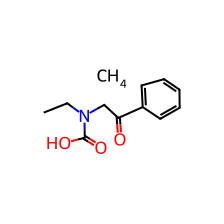 C.CCN(CC(=O)c1ccccc1)C(=O)O